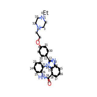 CCN1CCN(CCOc2ccc(-c3nc4cccc5c4n3-c3ccccc3NC5=O)cc2)CC1